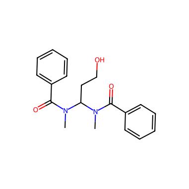 CN(C(=O)c1ccccc1)C(CCO)N(C)C(=O)c1ccccc1